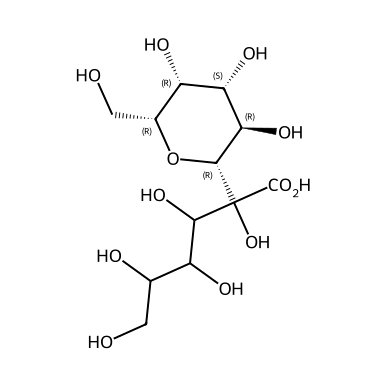 O=C(O)C(O)(C(O)C(O)C(O)CO)[C@@H]1O[C@H](CO)[C@H](O)[C@H](O)[C@H]1O